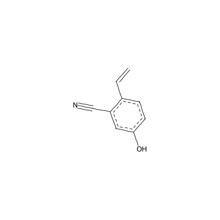 C=Cc1ccc(O)cc1C#N